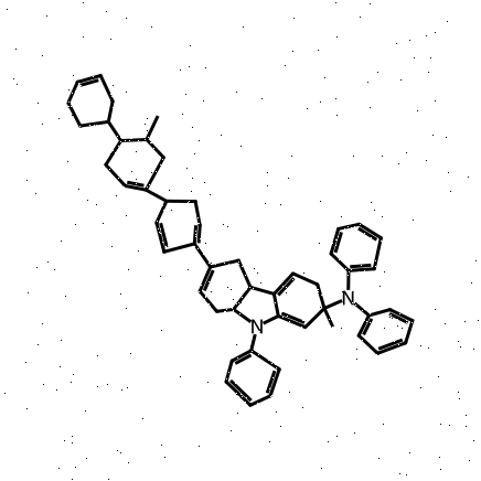 CC1CC(C2C=CC(C3=CCC4C(C3)C3=CCC(C)(N(c5ccccc5)c5ccccc5)C=C3N4c3ccccc3)=CC2)=CCC1C1CC=CCC1